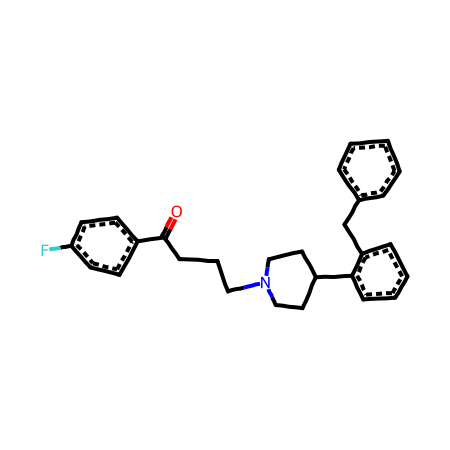 O=C(CCCN1CCC(c2ccccc2Cc2ccccc2)CC1)c1ccc(F)cc1